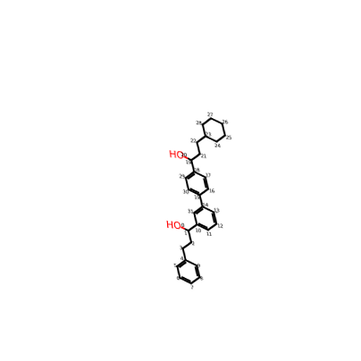 OC(CCc1ccccc1)c1cc[c]c(-c2ccc(C(O)CCC3CCCCC3)cc2)c1